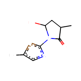 CC1CC(O)N(c2ncc(C(F)(F)F)s2)C1=O